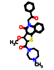 COC1c2c(c3ccccc3n(CC(=O)c3ccccc3)c2=O)SC1C(=O)N1CCCN(C)CC1